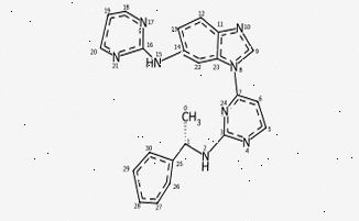 C[C@H](Nc1nccc(-n2cnc3ccc(Nc4ncccn4)cc32)n1)c1ccccc1